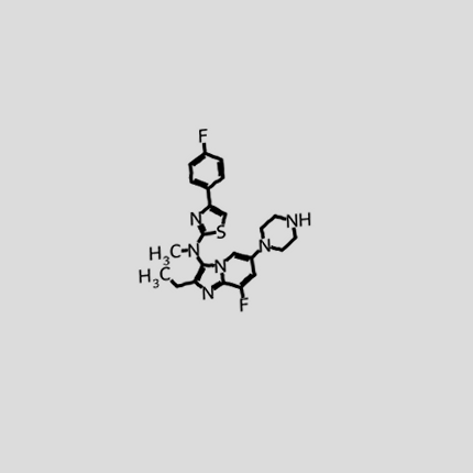 CCc1nc2c(F)cc(N3CCNCC3)cn2c1N(C)c1nc(-c2ccc(F)cc2)cs1